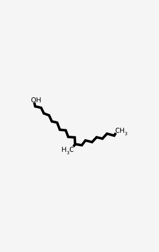 CCCCCCCCC(C)CCCCCCCCCCO